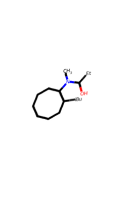 CCC(C)C1CCCCCCC1N(C)C(O)CC